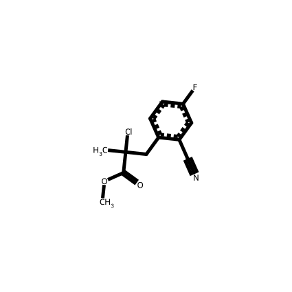 COC(=O)C(C)(Cl)Cc1c[c]c(F)cc1C#N